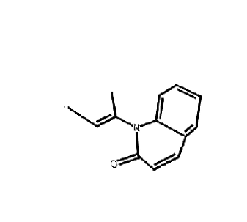 [CH2]C=C(C)n1c(=O)ccc2ccccc21